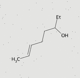 CC=CCCC(O)CC